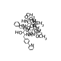 COC(=O)NC(C(=O)NC(Cc1ccc(-c2ccccn2)cc1)C(O)CC(Cc1ccccc1)NC(=O)C(NC(=O)OC)C(C)(C)S(C)(=O)=O)C(C)(C)C